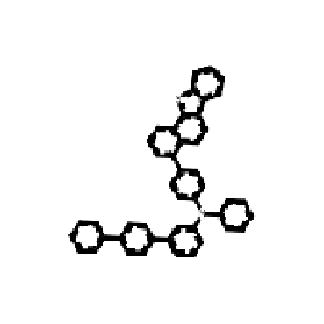 c1ccc(-c2ccc(-c3cccc(N(c4ccccc4)c4ccc(-c5cccc6c5ccc5c7ccccc7sc65)cc4)c3)cc2)cc1